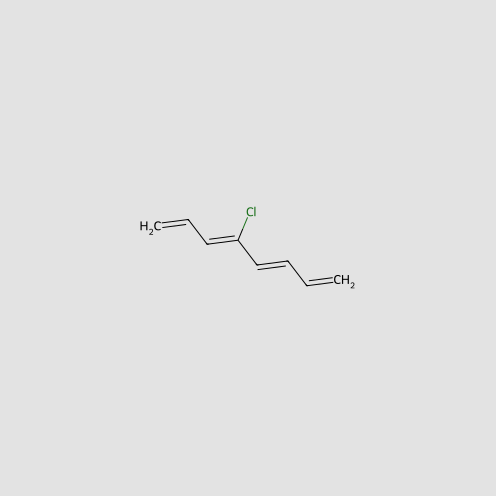 C=CC=CC(Cl)=CC=C